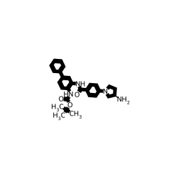 CC(C)(C)OC(=O)Nc1ccc(-c2ccccc2)cc1NC(=O)c1ccc(N2CC[C@H](N)C2)cc1